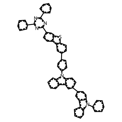 c1ccc(-c2nc(-c3ccccc3)nc(-c3ccc4c(c3)sc3ccc(-c5ccc(-n6c7ccccc7c7cc(-c8ccc9c(c8)c8ccccc8n9-c8ccccc8)ccc76)cc5)cc34)n2)cc1